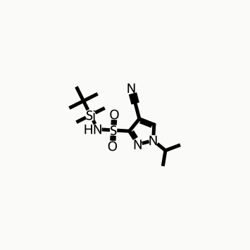 CC(C)n1cc(C#N)c(S(=O)(=O)N[Si](C)(C)C(C)(C)C)n1